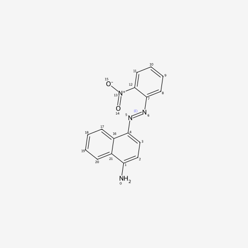 Nc1ccc(/N=N/c2ccccc2[N+](=O)[O-])c2ccccc12